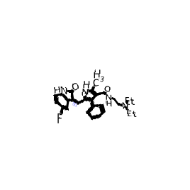 CCN(CC)CCNC(=O)c1c(C)[nH]c(/C=C2\C(=O)Nc3ccc(F)cc32)c1-c1ccccc1